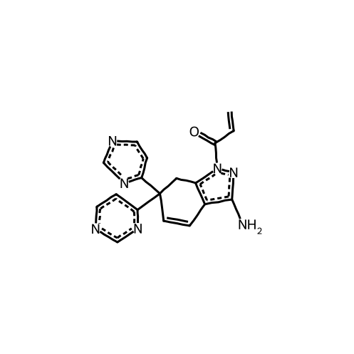 C=CC(=O)n1nc(N)c2c1CC(c1ccncn1)(c1ccncn1)C=C2